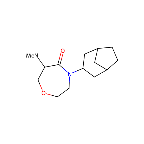 CNC1COCCN(C2CC3CCC(C3)C2)C1=O